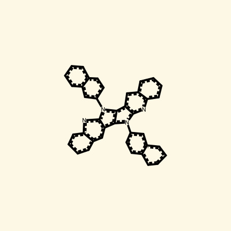 c1ccc2cc(-n3c4nc5ccccc5cc4c4c3c3cc5ccccc5nc3n4-c3ccc4ccccc4c3)ccc2c1